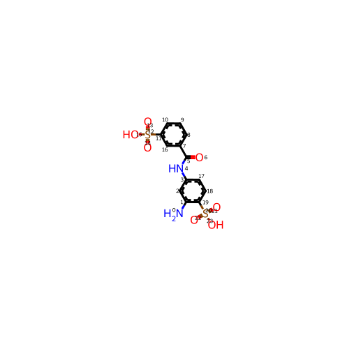 Nc1cc(NC(=O)c2cccc(S(=O)(=O)O)c2)ccc1S(=O)(=O)O